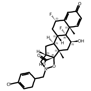 C[C@]12C=CC(=O)C=C1[C@@H](F)C[C@H]1[C@@H]3C[C@H]4CN(CC5C=CC(Cl)=CC5)O[C@@]4(C(=O)O)[C@@]3(C)C[C@H](O)[C@@]12F